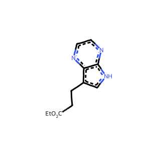 CCOC(=O)CCc1c[nH]c2nccnc12